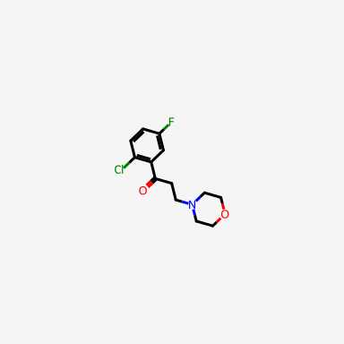 O=C(CCN1CCOCC1)c1cc(F)ccc1Cl